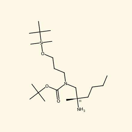 CCCC[C@](C)(N)CN(CCCO[Si](C)(C)C(C)(C)C)C(=O)OC(C)(C)C